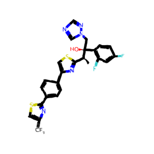 C[C@@H](c1nc(-c2ccc(-c3nc(C(F)(F)F)cs3)cc2)cs1)[C@](O)(Cn1cncn1)c1ccc(F)cc1F